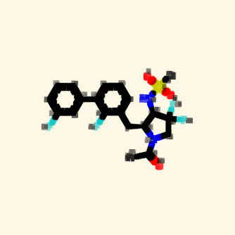 CCS(=O)(=O)N[C@@H]1[C@H](Cc2cccc(-c3cccc(F)c3)c2F)N(C(=O)C(C)C)CC1(F)F